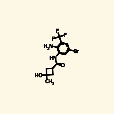 CC1(O)CC(C(=O)Nc2cc(Br)cc(C(F)(F)F)c2N)C1